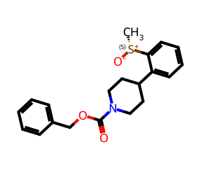 C[S@@+]([O-])c1ccccc1C1CCN(C(=O)OCc2ccccc2)CC1